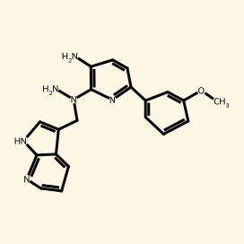 COc1cccc(-c2ccc(N)c(N(N)Cc3c[nH]c4ncccc34)n2)c1